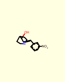 O=[N+]([O-])c1cccc(C=C2C(O)C3CCN2CC3)c1